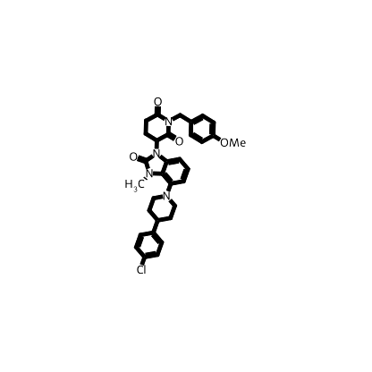 COc1ccc(CN2C(=O)CCC(n3c(=O)n(C)c4c(N5CCC(c6ccc(Cl)cc6)CC5)cccc43)C2=O)cc1